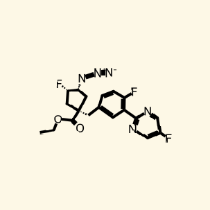 CCOC(=O)[C@@]1(Cc2ccc(F)c(-c3ncc(F)cn3)c2)C[C@H](F)[C@H](N=[N+]=[N-])C1